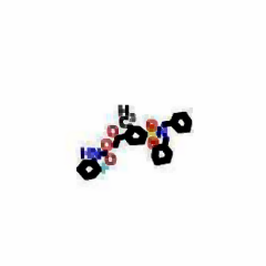 Cc1cc(S(=O)(=O)N(Cc2ccccc2)Cc2ccccc2)ccc1C(=O)COC(=O)Nc1ccccc1F